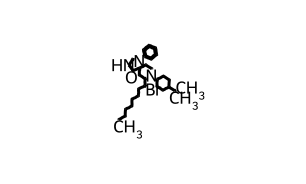 CCCCCCCCC(Br)C1CC2(CCN1C1CCC(C(C)C)CC1)C(=O)NCN2c1ccccc1